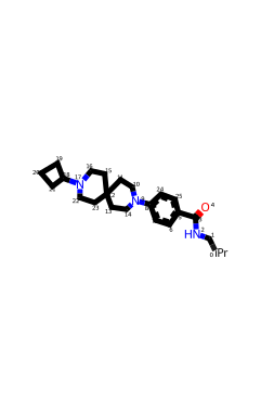 CC(C)CNC(=O)c1ccc(N2CCC3(CC2)CCN(C2CCC2)CC3)cc1